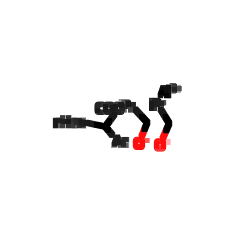 CC(C)C[O-].CC(C)C[O-].CCCCCCC(C(C)=O)C(=O)[O-].[Al+3]